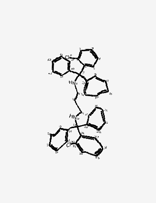 Clc1ccccc1C(NCCCNC(c1ccccc1)(c1ccccc1)c1ccccc1Cl)(c1ccccc1)c1ccccc1